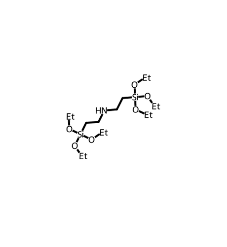 CCO[Si](CCNCC[Si](OCC)(OCC)OCC)(OCC)OCC